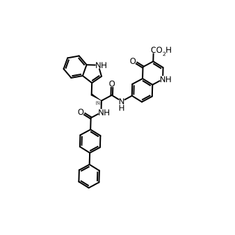 O=C(N[C@@H](Cc1c[nH]c2ccccc12)C(=O)Nc1ccc2[nH]cc(C(=O)O)c(=O)c2c1)c1ccc(-c2ccccc2)cc1